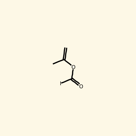 C=C(C)OC(=O)I